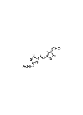 CC(=O)Nc1nc(C=Cc2cc(C=O)cs2)cs1